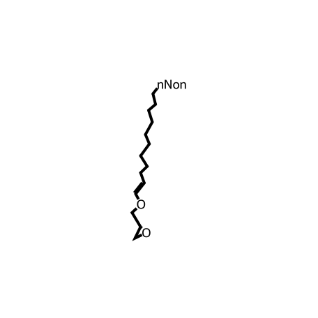 CCCCCCCCCCCCCCCCCCC=COCC1CO1